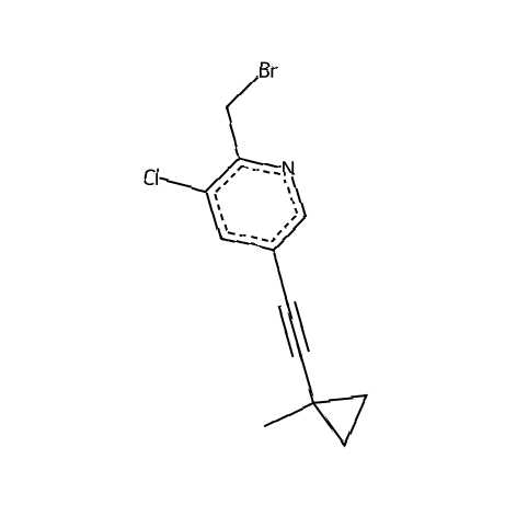 CC1(C#Cc2cnc(CBr)c(Cl)c2)CC1